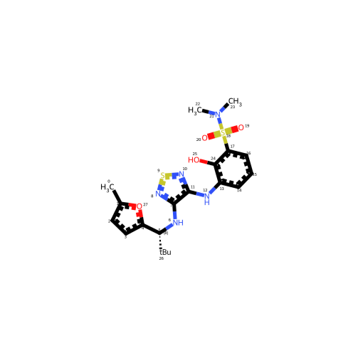 Cc1ccc([C@H](Nc2nsnc2Nc2cccc(S(=O)(=O)N(C)C)c2O)C(C)(C)C)o1